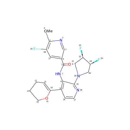 COc1ncc(C(=O)Nc2c(C3=CCCCO3)ccnc2N2C[C@@H](F)[C@@H](F)C2)cc1F